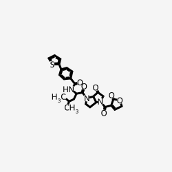 CC(C)CC(NC(=O)c1ccc(-c2cccs2)cc1)C(=O)N1CCC2C1C(=O)CN2C(=O)C1=CCOC1=O